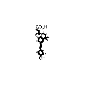 CC1(C)CCN(C(=O)CCC(=O)O)c2ccc(C#Cc3ccc(O)cc3)cc21